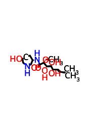 CO[C@@H](C(=O)N[C@H]1CC[C@H](O)CNC1=O)[C@H](O)[C@@H](O)[C@H](O)/C=C/C(C)C